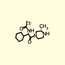 C[CH]C(=O)N[C@H](C(=O)N1CCN[C@@H](C)C1)C1CCCCC1